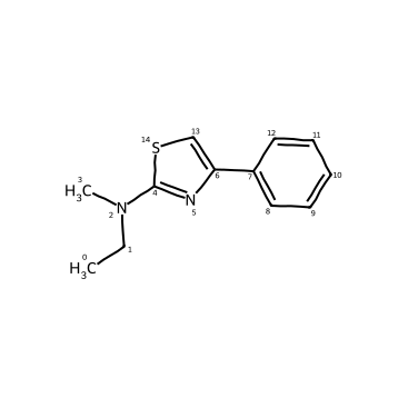 CCN(C)c1nc(-c2ccccc2)cs1